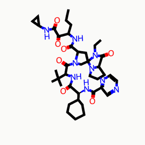 CCCC(NC(=O)C1CC2(CN1C(=O)C(NC(=O)[C@@H](NC(=O)c1cnccn1)C1CCCCC1)C(C)(C)C)N(CC)C(=O)C1CCCN12)C(=O)C(=O)NC1CC1